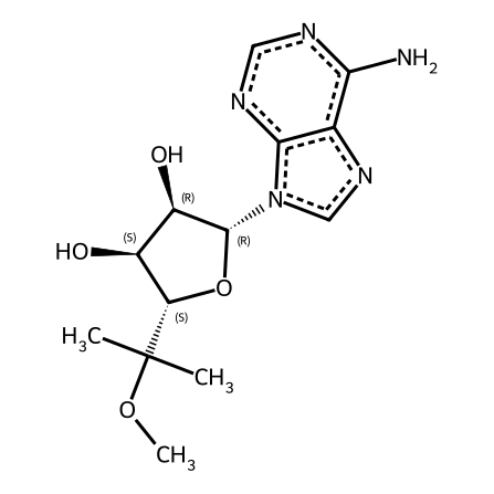 COC(C)(C)[C@H]1O[C@@H](n2cnc3c(N)ncnc32)[C@H](O)[C@@H]1O